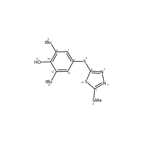 CSc1nnc(Sc2cc(C(C)(C)C)c(O)c(C(C)(C)C)c2)s1